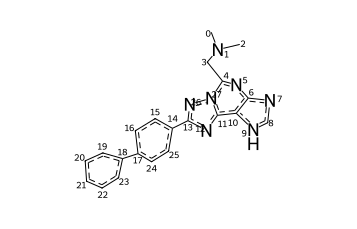 CN(C)Cc1nc2nc[nH]c2c2nc(-c3ccc(-c4ccccc4)cc3)nn12